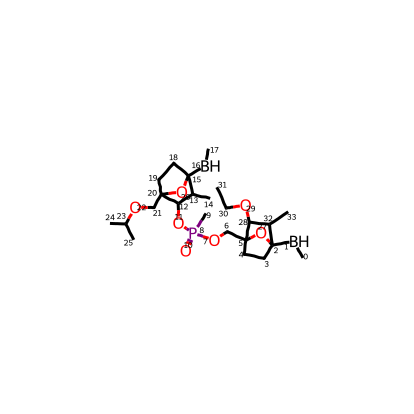 CBC12CCC(COP(C)(=O)OC3C(C)C4(BC)CCC3(COC(C)C)O4)(O1)C(OCC)C2C